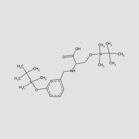 CC(C)(C)[Si](C)(C)OCC(NCc1cccc(O[Si](C)(C)C(C)(C)C)c1)C(=O)O